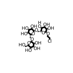 OC[C@H]1O[C@@H](OC[C@H]2O[C@@H](OC[C@H]3O[C@H](OCCCl)[C@H](O)[C@@H](O)[C@@H]3O)[C@H](O)[C@@H](O)[C@@H]2O)[C@H](O)[C@@H](O)[C@@H]1O